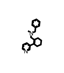 CN(CC1=C(c2cccnc2)CCCC1)Cc1ccccc1